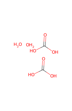 O.O.O=C(O)O.O=C(O)O